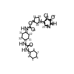 O=C(NC1CCCCC1)N[C@H]1CC[C@H](NC(=O)O[C@@H]2CCN(c3cn[nH]c(=O)c3Cl)C2)CC1